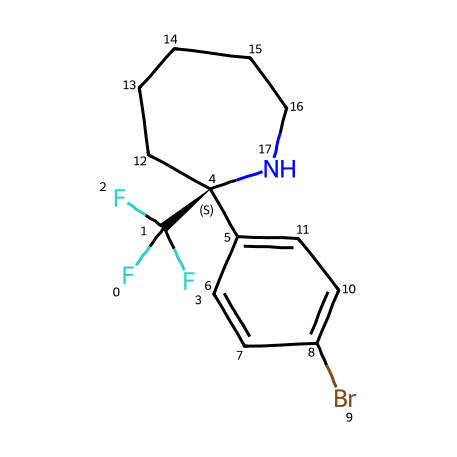 FC(F)(F)[C@@]1(c2ccc(Br)cc2)CCCCCN1